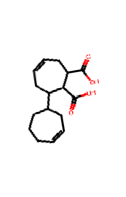 O=C(O)C1CC=CCC(C2CC=CCCC2)C1C(=O)O